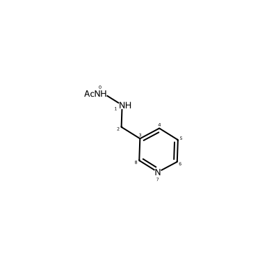 CC(=O)NNCc1cccnc1